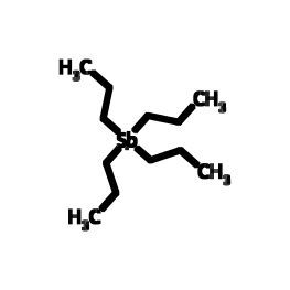 CC[CH2][Sb]([CH2]CC)([CH2]CC)[CH2]CC